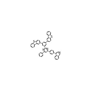 c1ccc(-c2cc(-c3ccc(-c4cncc5ccccc45)cc3)nc(-c3cc(-c4ccc5sc6ccccc6c5c4)cc(-c4ccc5sc6ccccc6c5c4)c3)n2)cc1